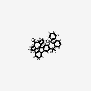 CC1(C)c2ccccc2P(=O)(c2ccccc2)c2cc3c(cc21)-c1ccccc1C31c2ccccc2C(=O)c2ccccc21